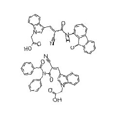 N#CC(=Cc1cn(CC(=O)O)c2ccccc12)C(=O)N(C(=O)c1ccccc1)c1ccccc1.N#CC(=Cc1cn(CC(=O)O)c2ccccc12)C(=O)Nc1cccc2c1C(=O)c1ccccc1-2